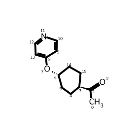 CC(=O)[C@H]1CC[C@H](Oc2ccncc2)CC1